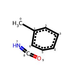 Cc1cc[c]cc1.N=C=O